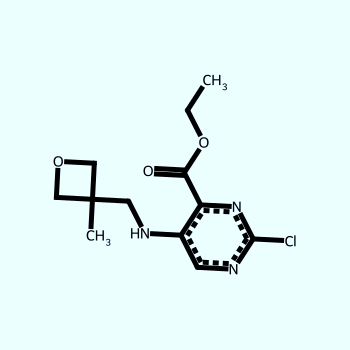 CCOC(=O)c1nc(Cl)ncc1NCC1(C)COC1